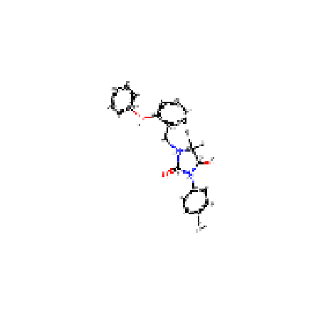 CC(C)c1ccc(N2C(=O)N(Cc3ccccc3Oc3ccccc3)C(C)(C)C2=O)cc1